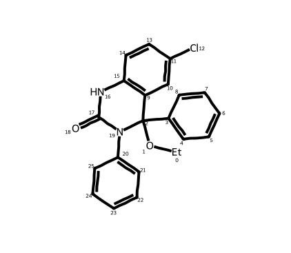 CCOC1(c2ccccc2)c2cc(Cl)ccc2NC(=O)N1c1ccccc1